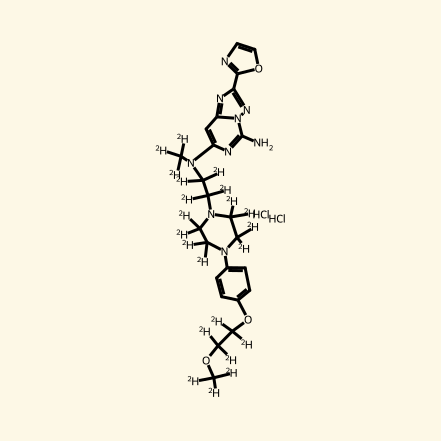 Cl.Cl.[2H]C([2H])([2H])OC([2H])([2H])C([2H])([2H])Oc1ccc(N2C([2H])([2H])C([2H])([2H])N(C([2H])([2H])C([2H])([2H])N(c3cc4nc(-c5ncco5)nn4c(N)n3)C([2H])([2H])[2H])C([2H])([2H])C2([2H])[2H])cc1